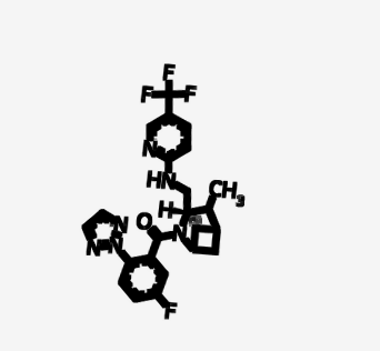 CC1C2CC(C2)N(C(=O)c2cc(F)ccc2-n2nccn2)[C@@H]1CNc1ccc(C(F)(F)F)cn1